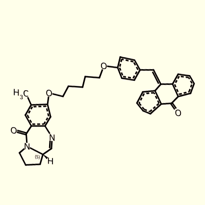 Cc1cc2c(cc1OCCCCCOc1ccc(C=C3c4ccccc4C(=O)c4ccccc43)cc1)N=C[C@@H]1CCCN1C2=O